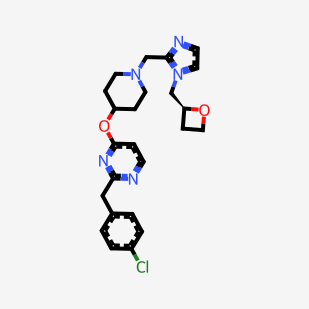 Clc1ccc(Cc2nccc(OC3CCN(Cc4nccn4C[C@@H]4CCO4)CC3)n2)cc1